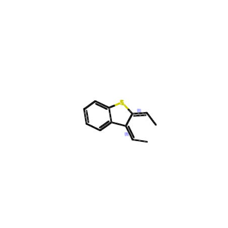 C/C=c1\c(=C/C)sc2ccccc12